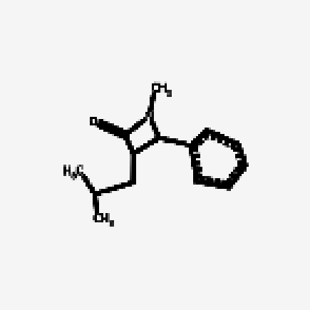 CC(C)CC1C(=O)N(C)C1c1ccccc1